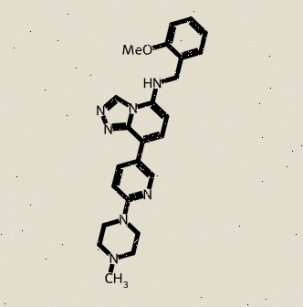 COc1ccccc1CNc1ccc(-c2ccc(N3CCN(C)CC3)nc2)c2nncn12